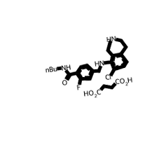 CCCCNC(=O)c1ccc(CNc2c(Cl)ccc3c2CCNCC3)cc1F.O=C(O)CCC(=O)O